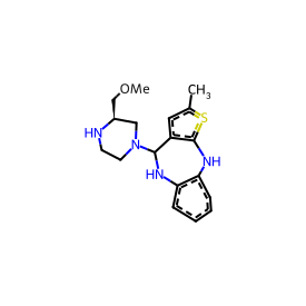 COC[C@H]1CN(C2Nc3ccccc3Nc3sc(C)cc32)CCN1